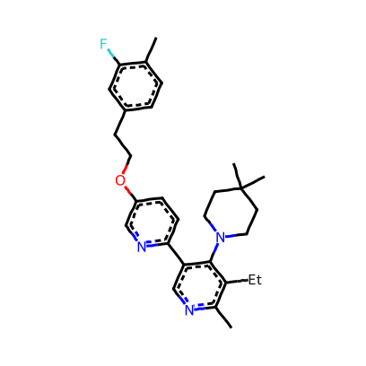 CCc1c(C)ncc(-c2ccc(OCCc3ccc(C)c(F)c3)cn2)c1N1CCC(C)(C)CC1